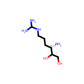 NC(N)NCCC[C@H](N)C(O)CO